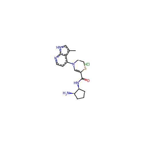 Cc1c[nH]c2nccc(N3C=C(C(=O)N[C@H]4CCC[C@H]4N)SCC3)c12.Cl